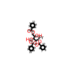 CC(C)[C@@H](OC(=O)c1ccccc1)C(OC(=O)c1ccccc1)[C@H](O)C(O)COC(=O)c1ccccc1